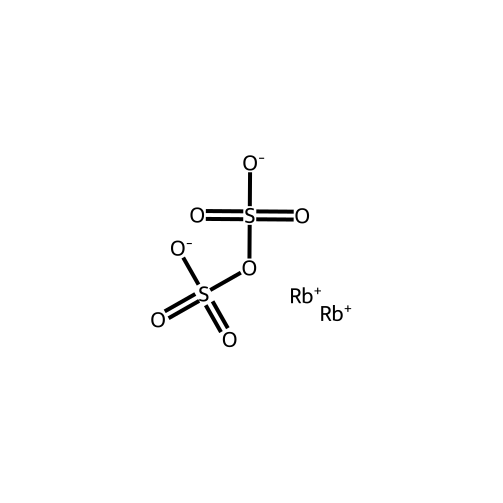 O=S(=O)([O-])OS(=O)(=O)[O-].[Rb+].[Rb+]